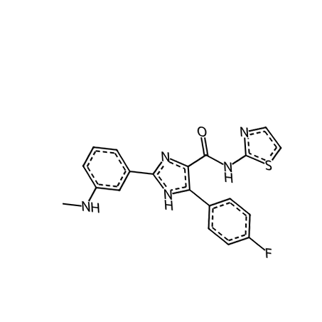 CNc1cccc(-c2nc(C(=O)Nc3nccs3)c(-c3ccc(F)cc3)[nH]2)c1